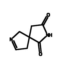 O=C1CC2(CC=NC2)C(=O)N1